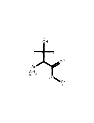 CC(=O)C(C(=O)OC(C)C)C(C)(C)O.[AlH3]